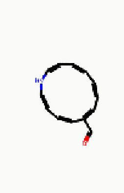 O=Cc1ccccccc[nH]cccc1